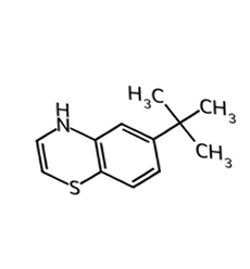 CC(C)(C)c1ccc2c(c1)NC=CS2